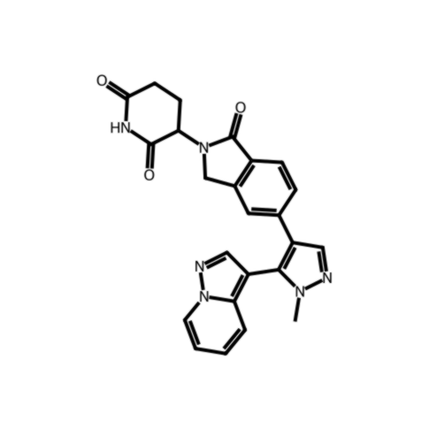 Cn1ncc(-c2ccc3c(c2)CN(C2CCC(=O)NC2=O)C3=O)c1-c1cnn2ccccc12